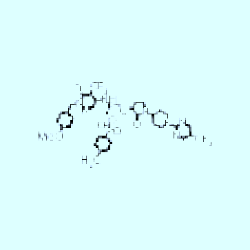 COc1ccc(Cn2ncc(N[C@H](CO[C@@H]3CCN(C4CCN(c5ncc(C(F)(F)F)cn5)CC4)C3=O)COS(=O)(=O)c3ccc(C)cc3)c(C(F)(F)F)c2=O)cc1